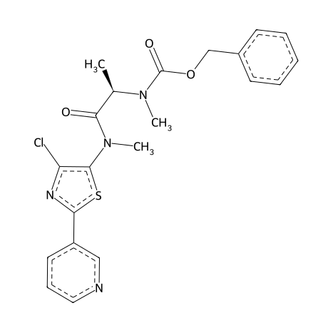 C[C@H](C(=O)N(C)c1sc(-c2cccnc2)nc1Cl)N(C)C(=O)OCc1ccccc1